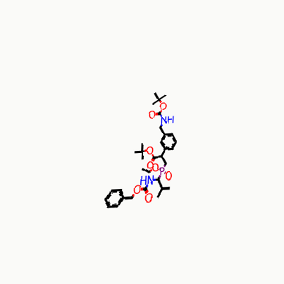 CCOP(=O)(CC(C(=O)OC(C)(C)C)c1cccc(CNC(=O)OC(C)(C)C)c1)C(NC(=O)OCc1ccccc1)C(C)C